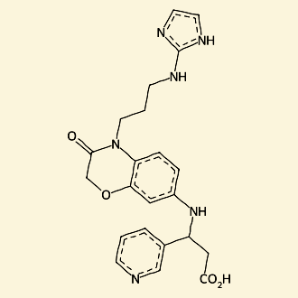 O=C(O)CC(Nc1ccc2c(c1)OCC(=O)N2CCCNc1ncc[nH]1)c1cccnc1